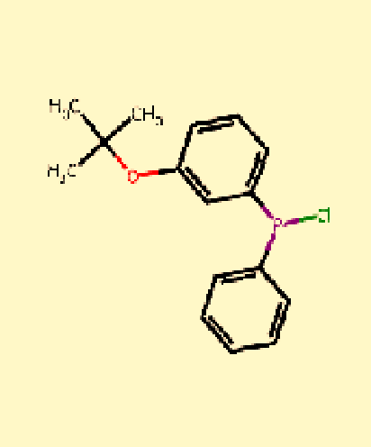 CC(C)(C)Oc1cccc(P(Cl)c2ccccc2)c1